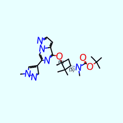 CN(C(=O)OC(C)(C)C)[C@H]1C[C@@](C)(Oc2nc(-c3cnn(C)c3)cn3nccc23)C1(C)C